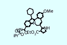 CCOC(=O)c1cc[nH]c1C1=Cc2cc(OC)ccc2-c2c(C3CCCCC3)c3ccc(C(=O)NS(=O)(=O)C(C)C)cc3n2C1